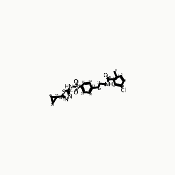 Cc1ccc(Cl)cc1C(=O)NCCc1ccc(S(=O)(=O)Nc2nnc(C3CC3)s2)cc1